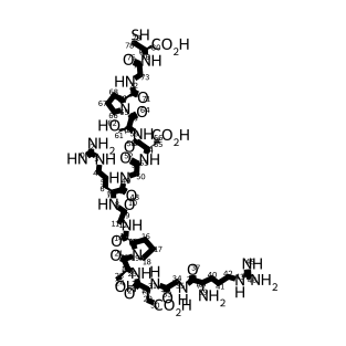 N=C(N)NCCC[C@H](NC(=O)CNC(=O)[C@@H]1CCCN1C(=O)[C@H](CO)NC(=O)[C@H](CC(=O)O)NC(=O)CNC(=O)[C@@H](N)CCCNC(=N)N)C(=O)NCC(=O)N[C@@H](CC(=O)O)C(=O)N[C@@H](CO)C(=O)N1CCC[C@H]1C(=O)NCC(=O)N[C@@H](CS)C(=O)O